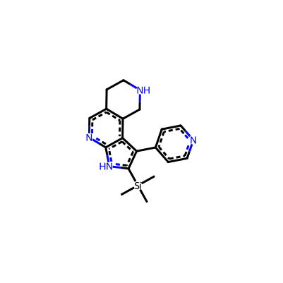 C[Si](C)(C)c1[nH]c2ncc3c(c2c1-c1ccncc1)CNCC3